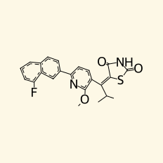 COc1nc(-c2ccc3cccc(F)c3c2)ccc1/C(=C1/SC(=O)NC1=O)C(C)C